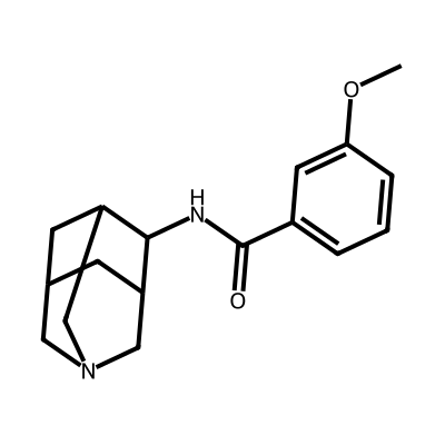 COc1cccc(C(=O)NC2C3CC4CC2CN(C4)C3)c1